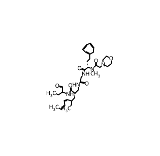 C/C=C\C=C/C(CC)C[C@H](CNC(=O)CNC(=O)[C@H](CCC1=CC=CC=CC1)N(C)C(=O)CN1CCOCC1)C(=O)NC(C=O)CC